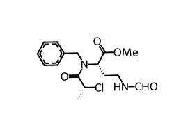 COC(=O)[C@H](CCNC=O)N(Cc1ccccc1)C(=O)[C@@H](C)Cl